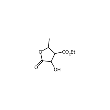 CCOC(=O)C1C(C)OC(=O)C1O